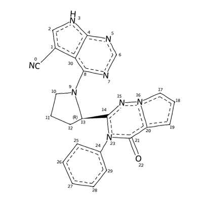 N#Cc1c[nH]c2ncnc(N3CCC[C@@H]3c3nn4cccc4c(=O)n3-c3ccccc3)c12